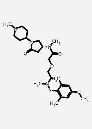 COc1cc(C)c(SN(C)CCOCC(=O)N(C)[C@@H]2CC(=O)N(C3CCN(C)CC3)C2)c(C)c1